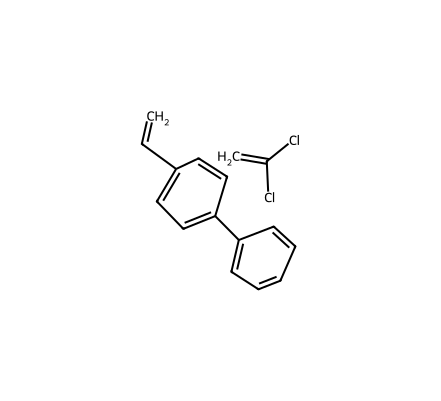 C=C(Cl)Cl.C=Cc1ccc(-c2ccccc2)cc1